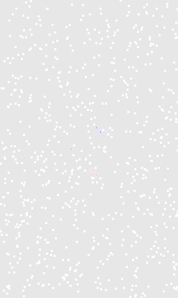 C=CCC1(CC=C)CC(=O)c2cc3ccccc3nc2C1